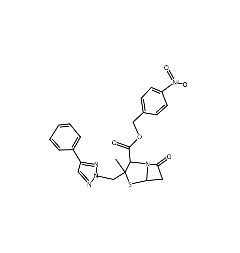 CC1(Cn2ncc(-c3ccccc3)n2)SC2CC(=O)N2C1C(=O)OCc1ccc([N+](=O)[O-])cc1